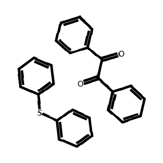 O=C(C(=O)c1ccccc1)c1ccccc1.c1ccc(Sc2ccccc2)cc1